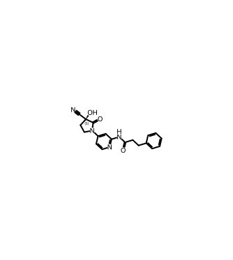 N#C[C@@]1(O)CCN(c2ccnc(NC(=O)CCc3ccccc3)c2)C1=O